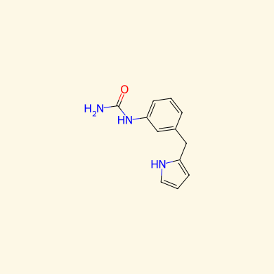 NC(=O)Nc1cccc(Cc2ccc[nH]2)c1